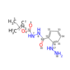 CC(C)(C)OC(=O)NNC(=O)c1ccccc1NN